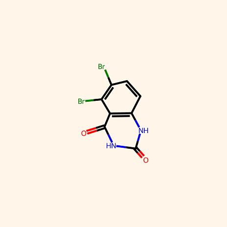 O=c1[nH]c(=O)c2c(Br)c(Br)ccc2[nH]1